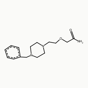 NC(=O)COCCN1CCN(Cc2ccccc2)CC1